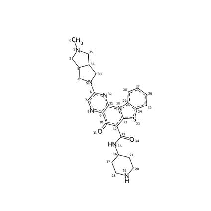 CN1CC2CN(c3cnc4c(=O)c(C(=O)NC5CCNCC5)c5sc6ccccc6n5c4n3)CC2C1